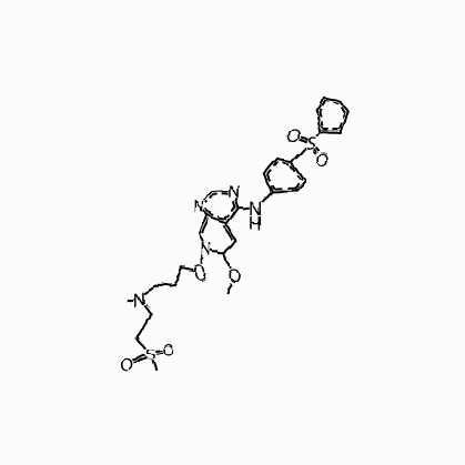 COC1C=c2c(Nc3ccc(S(=O)(=O)c4ccccc4)cc3)ncnc2=CN1OCCCN(C)CCS(C)(=O)=O